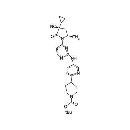 C[C@@H]1C[C@@](C#N)(C2CC2)C(=O)N1c1ccnc(Nc2ccc(C3CCN(C(=O)OC(C)(C)C)CC3)nc2)n1